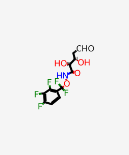 O=CC[C@H](O)[C@H](O)C(=O)NOC(F)(F)c1ccc(F)c(F)c1F